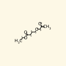 CCOC(=O)CCCOCC(C)=O